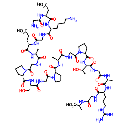 C[C@H](NC(=O)CNC(=O)[C@H](CCCNC(=N)N)NC(=O)[C@H](C)NC(=O)CNC(=O)[C@@H](NC(=O)[C@@H]1CCCN1C(=O)CNC(=O)[C@H](C)NC(=O)[C@@H]1CCCN1C(=O)CNC(=O)[C@H](CO)NC(=O)[C@@H]1CCCN1C(=O)CNC(=O)[C@H](C)NC(=O)[C@H](CCC(=O)O)NC(=O)CNC(=O)[C@H](CCCCN)NC(=O)[C@H](CC(=O)O)NC(=O)CN)[C@@H](C)O)C(=O)O